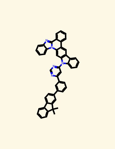 CC1(C)c2ccccc2-c2ccc(-c3cccc(-c4cc(-n5c6ccccc6c6cc7c8ccccc8c8nc9ccccc9n8c7cc65)ncn4)c3)cc21